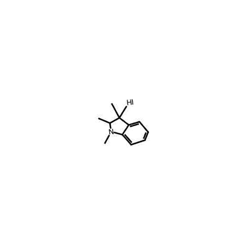 CC1N(C)c2ccccc2C1(C)C.I